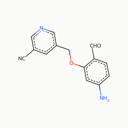 N#Cc1cncc(COc2cc(N)ccc2C=O)c1